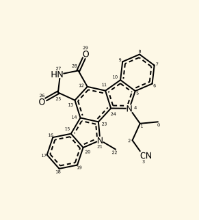 CC(CC#N)n1c2ccccc2c2c3c(c4c5ccccc5n(C)c4c21)C(=O)NC3=O